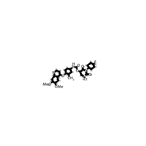 CCn1cc(OC(=O)Nc2ccc(Oc3ccnc4cc(OC)c(OC)cc34)c(C)c2)c(=O)n(-c2ccc(F)cc2)c1=O